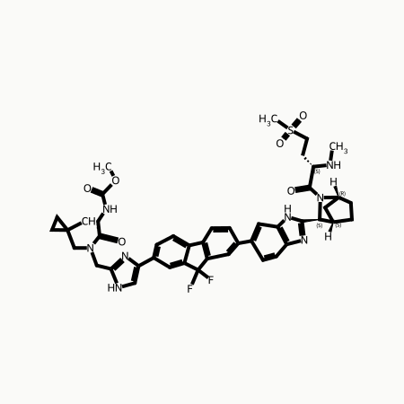 CN[C@@H](CCS(C)(=O)=O)C(=O)N1[C@@H]2CC[C@@H](C2)[C@H]1c1nc2ccc(-c3ccc4c(c3)C(F)(F)c3cc(-c5c[nH]c(CN(CC6(C)CC6)C(=O)CNC(=O)OC)n5)ccc3-4)cc2[nH]1